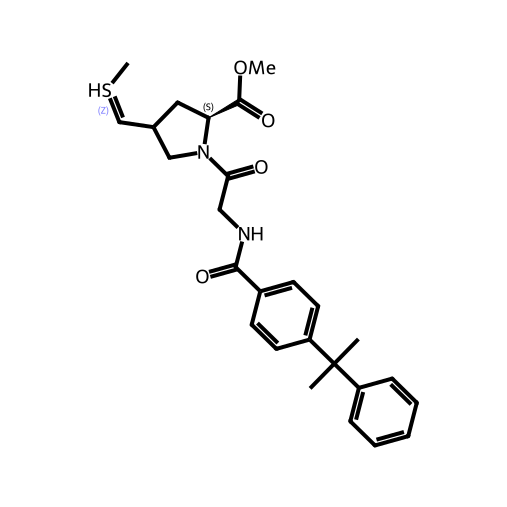 COC(=O)[C@@H]1CC(/C=[SH]\C)CN1C(=O)CNC(=O)c1ccc(C(C)(C)c2ccccc2)cc1